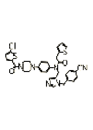 N#Cc1ccc(Cn2cncc2CN(C(=O)Cc2cccs2)c2ccc(N3CCN(C(=O)c4ccc(Cl)s4)CC3)cc2)cc1